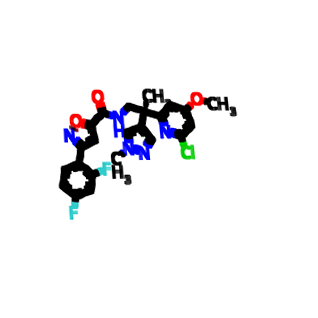 COc1cc(Cl)nc([C@@](C)(CNC(=O)c2cc(-c3ccc(F)cc3F)no2)c2cnn(C)c2)c1